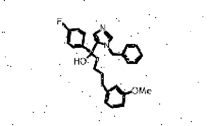 COc1cccc(CCCCC(O)(c2ccc(F)cc2)c2cncn2Cc2ccccc2)c1